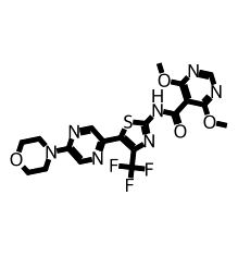 COc1ncnc(OC)c1C(=O)Nc1nc(C(F)(F)F)c(-c2cnc(N3CCOCC3)cn2)s1